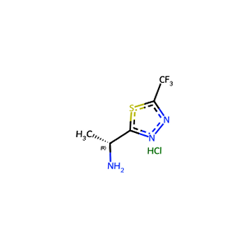 C[C@@H](N)c1nnc(C(F)(F)F)s1.Cl